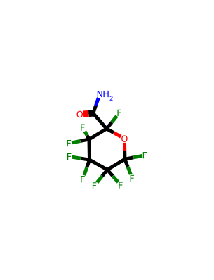 NC(=O)C1(F)OC(F)(F)C(F)(F)C(F)(F)C1(F)F